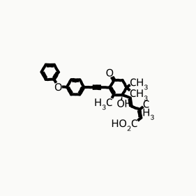 CC1=C(C#Cc2ccc(Oc3ccccc3)cc2)C(=O)CC(C)(C)[C@@]1(O)/C=C/C(C)=C\C(=O)O